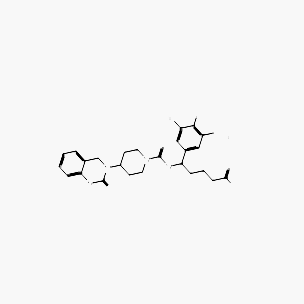 Cc1cc(C(CCCC(=O)O)NC(=O)N2CCC(N3Cc4ccccc4NC3=O)CC2)cc(Br)c1Cl